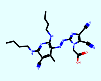 CCCCNc1nc(NCCCC)c(N=Nc2nc(C#N)c(C#N)n2CC(=O)O)c(C)c1C#N